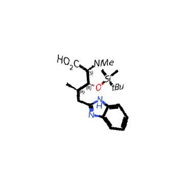 CN[C@H](C(=O)O)[C@H](O[Si](C)(C)C(C)(C)C)[C@H](C)Cc1nc2ccccc2[nH]1